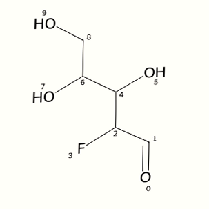 O=CC(F)C(O)C(O)CO